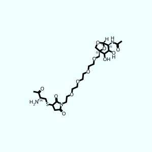 CC(=O)N[C@H]1C(O)C(O)[C@]2(COCCOCCOCCOCCN3C(=O)CC(SC[C@H](N)C(C)=O)C3=O)CO[C@H]1O2